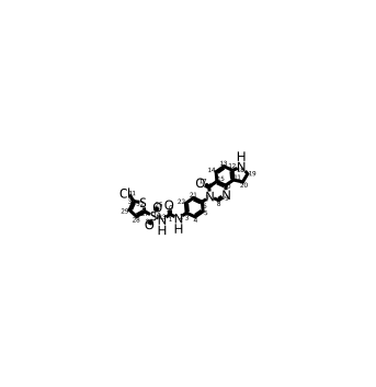 O=C(Nc1ccc(-n2cnc3c4c(ccc3c2=O)NCC4)cc1)NS(=O)(=O)c1ccc(Cl)s1